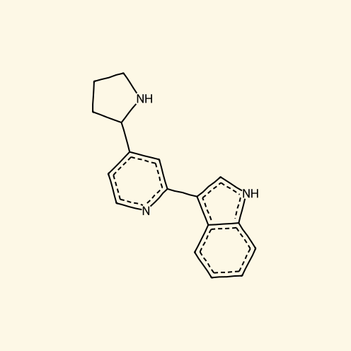 c1ccc2c(-c3cc(C4CCCN4)ccn3)c[nH]c2c1